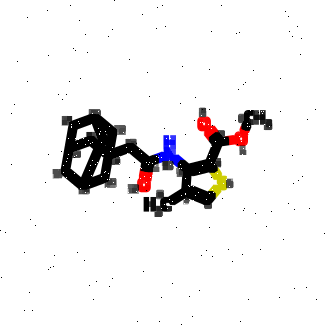 COC(=O)c1scc(C)c1NC(=O)CC12CC3CC(CC(C3)C1)C2